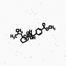 COC(=O)c1ccc(CNC2CC3CCC(CC(C)C)(C2)N3C(=O)O)cc1